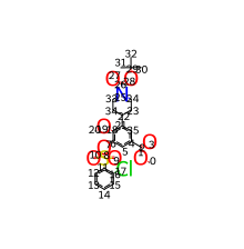 COC(=O)c1cc(OS(=O)(=O)c2ccccc2Cl)c(OC)c(C2CCN(C(=O)OC(C)(C)C)CC2)c1